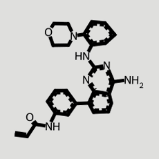 C=CC(=O)Nc1cccc(-c2cccc3c(N)nc(Nc4ccccc4N4CCOCC4)nc23)c1